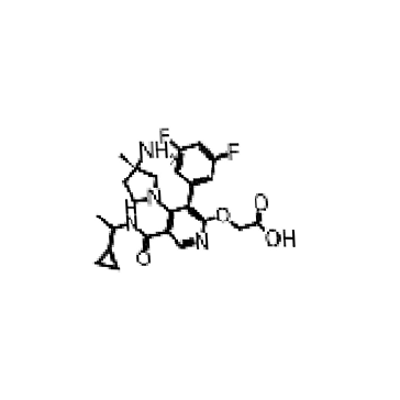 CC(NC(=O)c1cnc(OCC(=O)O)c(-c2cc(F)cc(F)c2)c1N1CC[C@](C)(N)C1)C1CC1